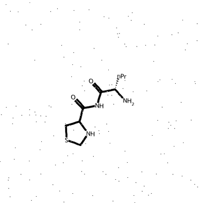 CCC[C@H](N)C(=O)NC(=O)C1CSCN1